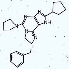 c1ccc(C[C@@H]2CN3C(=N2)c2[nH]c(C4CCCC4)nc2N=C3N2CCCC2)cc1